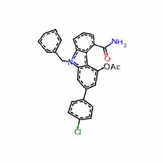 CC(=O)Oc1cc(-c2ccc(Cl)cc2)cc2c1c1c(C(N)=O)cccc1n2Cc1ccccc1